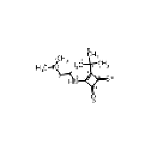 CN(C)CCNc1c(C(C)(C)C)c(=S)c1=O